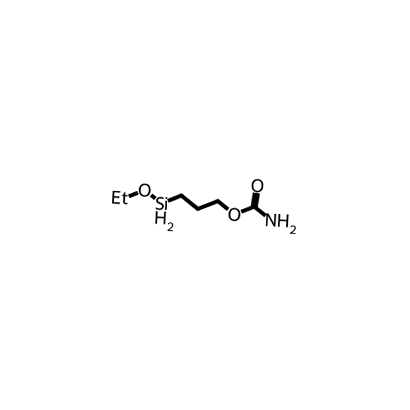 CCO[SiH2]CCCOC(N)=O